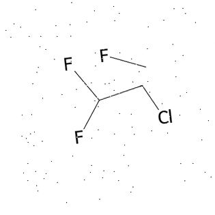 CF.FC(F)CCl